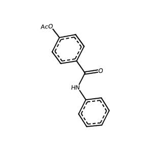 CC(=O)Oc1ccc(C(=O)Nc2ccccc2)cc1